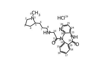 CN1CCCC1CCCNCC(=O)N1c2ccccc2C(=O)Nc2cccnc21.Cl